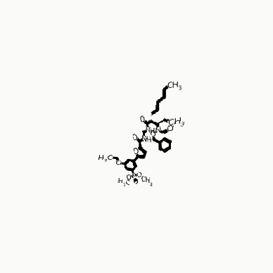 CCCCCC[C@@H](C(=O)NCNC(=O)c1ccc(-c2cc(OCC)cc(P(=O)(OC)OC)c2)o1)[C@@H](CC)N(C=O)OCc1ccccc1